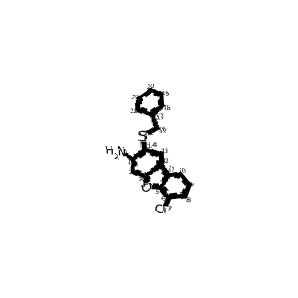 Nc1cc2oc3c(Cl)cccc3c2cc1SCc1ccccc1